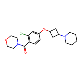 O=C(c1ccc(OC2CC(N3CCCCC3)C2)cc1Cl)N1CCOCC1